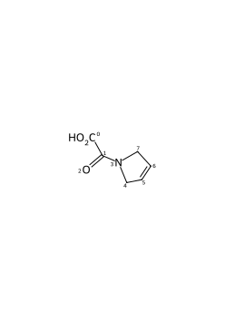 O=C(O)C(=O)N1CC=CC1